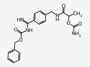 CC(OC(N)=O)C(=O)NCc1ccc(C(=N)NC(=O)OCc2ccccc2)cc1